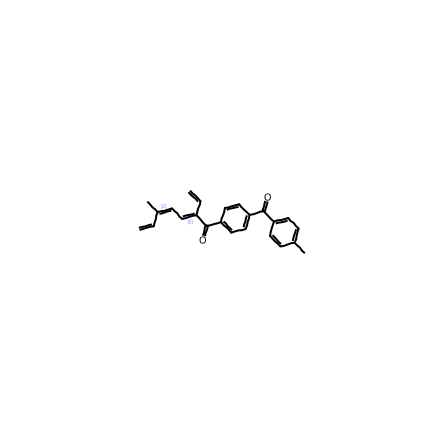 C=C/C(C)=C\C=C(/C=C)C(=O)c1ccc(C(=O)c2ccc(C)cc2)cc1